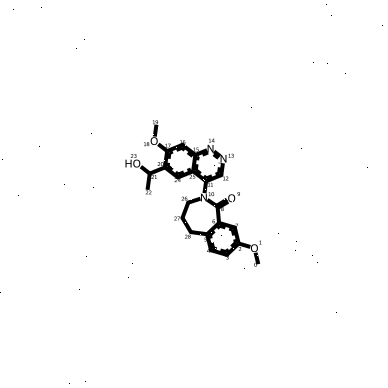 COc1ccc2c(c1)C(=O)N(c1cnnc3cc(OC)c(C(C)O)cc13)CCC2